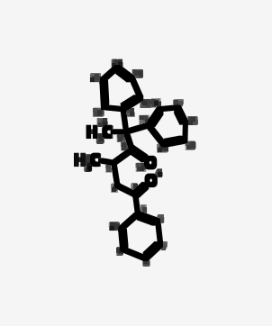 CC(CC(=O)c1ccccc1)C(=O)C(C)(c1ccccc1)c1ccccc1